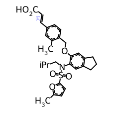 Cc1ccc(S(=O)(=O)N(CC(C)C)c2cc3c(cc2OCc2ccc(/C=C/C(=O)O)cc2C)CCC3)o1